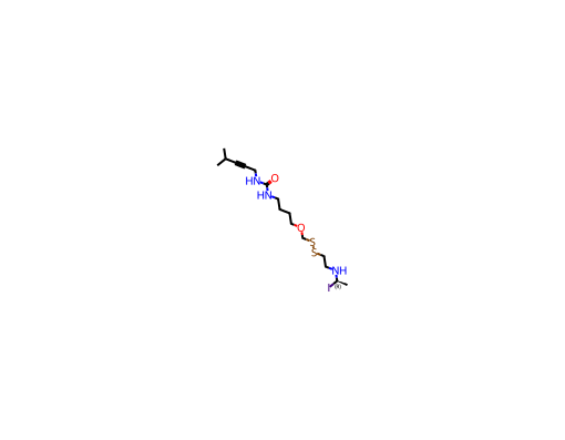 CC(C)C#CCNC(=O)NCCCCOCSSCCN[C@@H](C)I